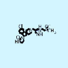 C[S+]([O-])CCN/C=C(\C=N)CN1CCC2(CC1)CC(N1CCNC1=O)c1ccc(Cl)cc12